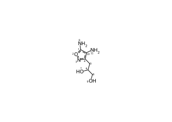 Nc1onc(CC(O)CO)c1N